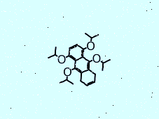 CC(C)Oc1ccc(OC(C)C)c2c(OC(C)C)c3c(c(OC(C)C)c12)CC=CC3